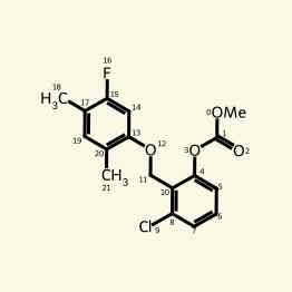 COC(=O)Oc1cccc(Cl)c1COc1cc(F)c(C)cc1C